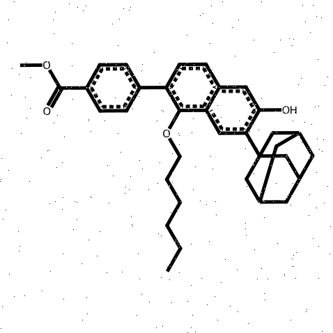 CCCCCCOc1c(-c2ccc(C(=O)OC)cc2)ccc2cc(O)c(C34CC5CC(CC(C5)C3)C4)cc12